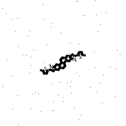 Cc1ccc(-c2cc3cc4ccc5c6cc7c(cc(-c8ccc(C)s8)n7C)cc6ccc5c4cc3n2C)s1